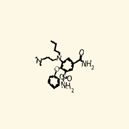 CCCCN(CCN(C)C)c1cc(C(N)=O)cc(S(N)(=O)=O)c1Oc1ccccc1